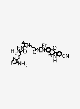 CCc1cc2c(cc1N1CCN(C(=O)CCCN3C[C@H](NC(=O)[C@@H](N)CCCc4ncncc4N)C4(CC4)C3)CC1)C(C)(C)c1[nH]c3cc(C#N)ccc3c1C2=O